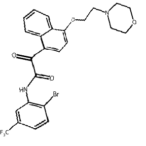 O=C(Nc1cc(C(F)(F)F)ccc1Br)C(=O)c1ccc(OCCN2CCOCC2)c2ccccc12